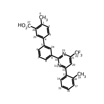 Cc1ccc(-c2cccc(-c3nc(-c4ccccc4C)cc(C(F)(F)F)n3)c2)cc1C(=O)O